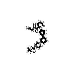 CC(C)(C)OC(=O)N1CCN(c2cccc(-c3ccc(N4CCCCC4C(=O)NCC#N)cc3)c2)CC1